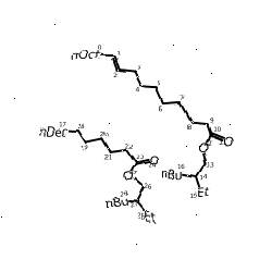 CCCCCCCCC=CCCCCCCCC(=O)OCC(CC)CCCC.CCCCCCCCCCCCCCCC(=O)OCC(CC)CCCC